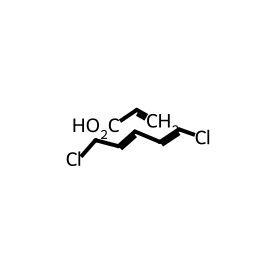 C=CC(=O)O.ClC=CC=CCCl